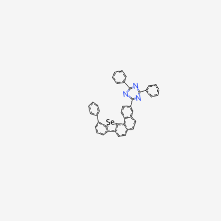 c1ccc(-c2nc(-c3ccccc3)nc(-c3ccc4c(ccc5ccc6c7cccc(-c8ccccc8)c7[se]c6c54)c3)n2)cc1